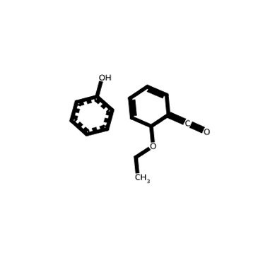 CCOC1C=CC=CC1=C=O.Oc1ccccc1